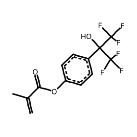 C=C(C)C(=O)Oc1ccc(C(O)(C(F)(F)F)C(F)(F)F)cc1